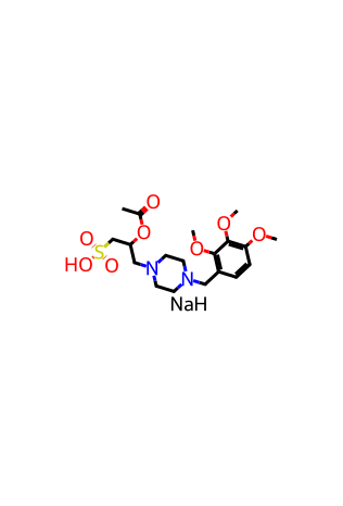 COc1ccc(CN2CCN(CC(CS(=O)(=O)O)OC(C)=O)CC2)c(OC)c1OC.[NaH]